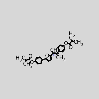 C=C(C)C(=O)Oc1ccc(/C(C)=C(\C)c2ccc(-c3ccc(OC(=O)C(=C)C)cc3)o2)cc1